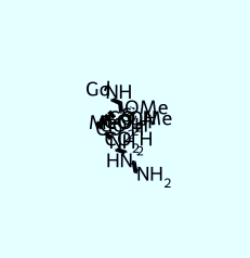 CC(=O)O.CC(=O)O.CC(=O)O.CC(=O)O.CC(=O)O.CO[Si](CCC[NH][Gd])(OC)OC.NCCNCCN